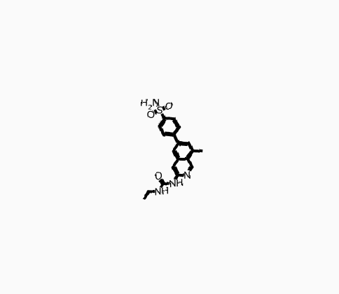 CCNC(=O)Nc1cc2cc(-c3ccc(S(N)(=O)=O)cc3)cc(C)c2cn1